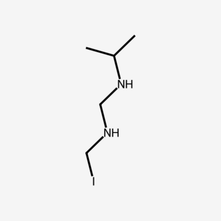 CC(C)NCNCI